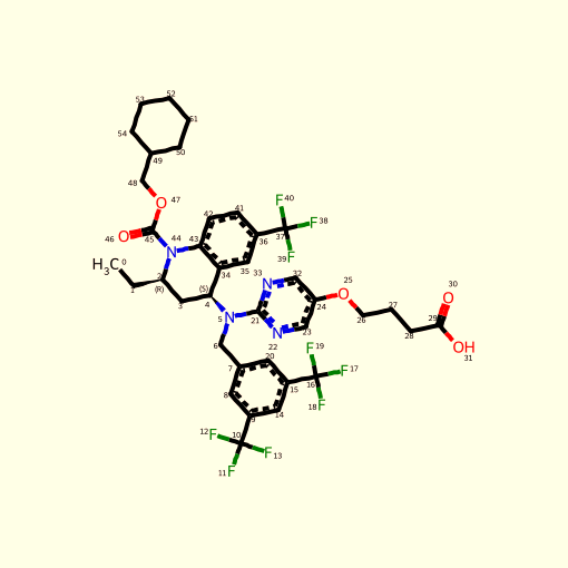 CC[C@@H]1C[C@H](N(Cc2cc(C(F)(F)F)cc(C(F)(F)F)c2)c2ncc(OCCCC(=O)O)cn2)c2cc(C(F)(F)F)ccc2N1C(=O)OCC1CCCCC1